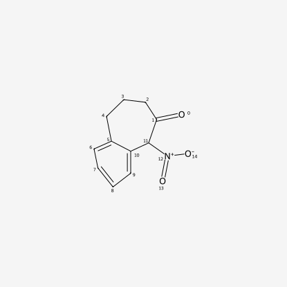 O=C1CCCc2ccccc2C1[N+](=O)[O-]